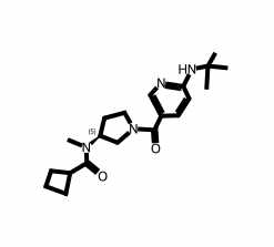 CN(C(=O)C1CCC1)[C@H]1CCN(C(=O)c2ccc(NC(C)(C)C)nc2)C1